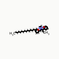 CCCCCCCCCCCCCCCCCN1C=CN(C)C1(Cc1ccccc1)C(CC)c1ccccc1